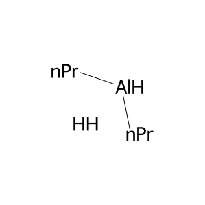 CC[CH2][AlH][CH2]CC.[HH]